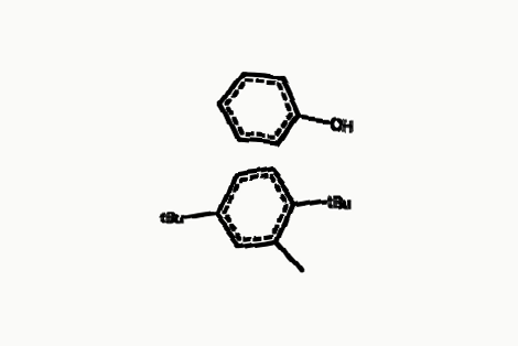 Cc1cc(C(C)(C)C)ccc1C(C)(C)C.Oc1ccccc1